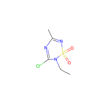 CCN1C(Cl)=NC(C)=NS1(=O)=O